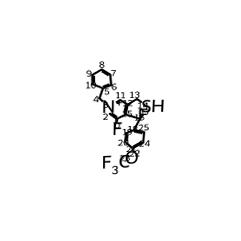 Fc1c[n+](Cc2ccccc2)cc(CS)c1C(F)c1ccc(OC(F)(F)F)cc1